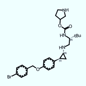 CC(C)(C)[C@H](CN[C@@H]1C[C@H]1c1ccc(OCc2ccc(Br)cc2)cc1)NC(=O)OC1CCNC1